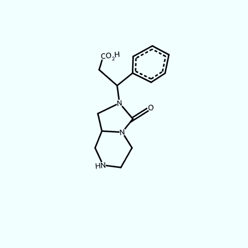 O=C(O)CC(c1ccccc1)N1CC2CNCCN2C1=O